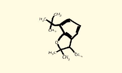 CC1c2cccc(C(C)(C)C)c2OC1(C)C